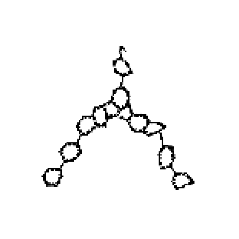 CC(C)(C)c1ccc(-c2cc3c4cc5ccc(-c6ccc(-c7ccccc7)cc6)cc5cc4n4c5cc6cc(-c7ccc(-c8ccccc8)cc7)ccc6cc5c(c2)c34)cc1